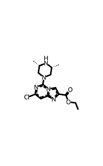 CCOC(=O)c1cn2c(N3C[C@@H](C)N[C@@H](C)C3)nc(Cl)cc2n1